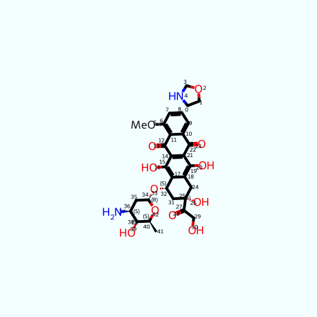 C1COCN1.COc1cccc2c1C(=O)c1c(O)c3c(c(O)c1C2=O)C[C@@](O)(C(=O)CO)C[C@@H]3O[C@H]1C[C@H](N)[C@H](O)[C@H](C)O1